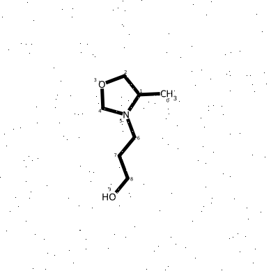 CC1COCN1CCCO